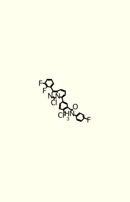 O=C(Nc1ccc(F)cc1)c1cc(-c2cccc3c(-c4cccc(F)c4F)nc(Cl)n23)ccc1C(F)(F)F